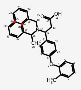 Cc1ccccc1Oc1ccc(C(CC(=O)O)N(Cc2ccccc2)C(C)c2ccccc2)cc1